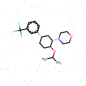 CC(C)O[C@H]1CC[C@H](c2cccc(C(F)(F)F)c2)C[C@@H]1N1CCOCC1